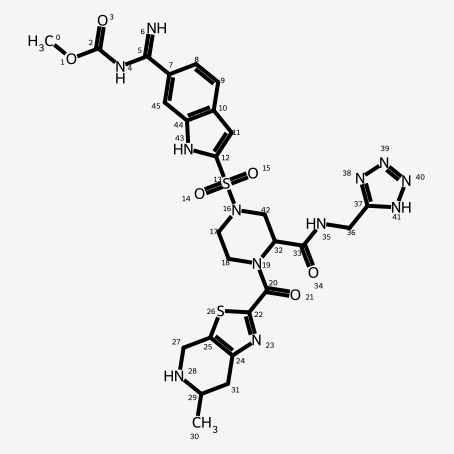 COC(=O)NC(=N)c1ccc2cc(S(=O)(=O)N3CCN(C(=O)c4nc5c(s4)CNC(C)C5)C(C(=O)NCc4nnn[nH]4)C3)[nH]c2c1